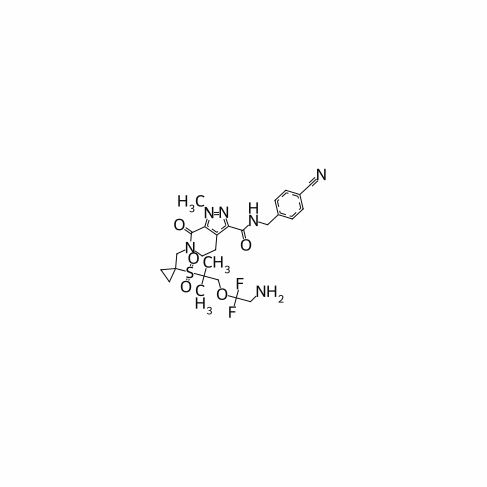 Cn1nc(C(=O)NCc2ccc(C#N)cc2)c2c1C(=O)N(CC1(S(=O)(=O)C(C)(C)COC(F)(F)CN)CC1)CC2